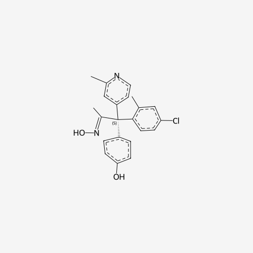 CC(=NO)[C@@](c1ccc(O)cc1)(c1ccnc(C)c1)c1ccc(Cl)cc1C